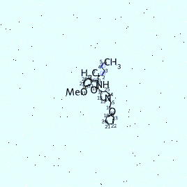 C=C(/C=C\C=C/C)[C@H](NC(=O)C1CCN(CCOc2ccccc2)CC1)c1cccc(OC)c1